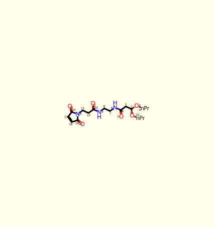 CCCOC(CC(=O)NCCNC(=O)CCN1C(=O)C=CC1=O)OCCC